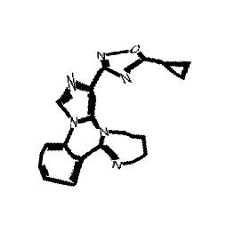 c1ccc2c(c1)C1=NCCCN1c1c(-c3noc(C4CC4)n3)ncn1-2